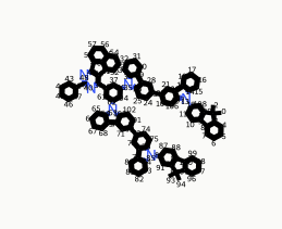 CC1(C)c2ccccc2-c2ccc(-n3c4ccccc4c4cc(-c5ccc6c(c5)c5ccccc5n6-c5cc(-c6nc(-c7ccccc7)nc7c6-c6cccc8cccc-7c68)cc(-n6c7ccccc7c7cc(-c8ccc9c(c8)c8ccccc8n9-c8ccc9c(c8)C(C)(C)c8ccccc8-9)ccc76)c5)ccc43)cc21